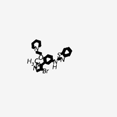 Cn1ncc(Br)c1-c1cc(Nc2nc3ccccc3s2)ccc1OCCN1CCCCC1